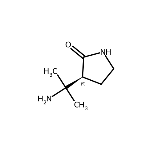 CC(C)(N)[C@@H]1CCNC1=O